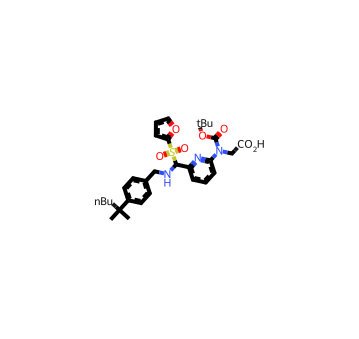 CCCCC(C)(C)c1ccc(CNC(c2cccc(N(CC(=O)O)C(=O)OC(C)(C)C)n2)S(=O)(=O)c2ccco2)cc1